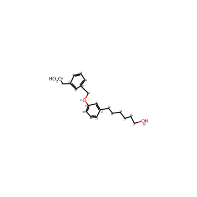 O=C(O)Cc1cccc(COc2cccc(CCCCCCO)c2)c1